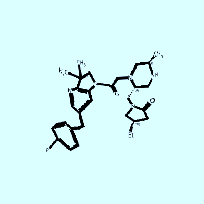 CC[C@@H]1CC(=O)N(C[C@H]2CN[C@H](C)CN2CC(=O)N2CC(C)(C)c3ncc(Cc4ccc(F)cc4)cc32)C1